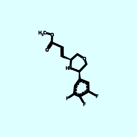 COC(=O)/C=C/[C@H]1COC[C@@H](c2cc(F)c(F)c(F)c2)N1